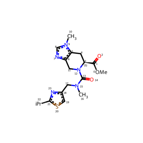 COC(=O)[C@@H]1Cc2c(ncn2C)CN1C(=O)N(C)Cc1csc(C(C)C)n1